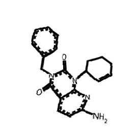 Nc1ccc2c(=O)n(Cc3ccccc3)c(=O)n(C3C=CCCC3)c2n1